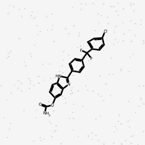 NC(=O)Oc1ccc2[nH]c(-c3ccc(C(F)(F)c4ccc(Cl)cc4)cc3)nc2c1